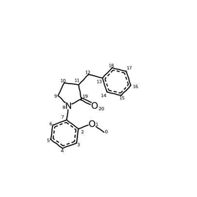 COc1ccccc1N1CCC(Cc2ccccc2)C1=O